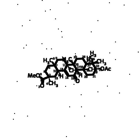 COC(=O)[C@@]1(C)CC[C@]2(C)CC[C@]3(C)C(=CC(=O)[C@@H]4[C@@]5(C)CC[C@H](OC(C)=O)C(C)(C)[C@@H]5CC[C@]43C)[C@H]2C1